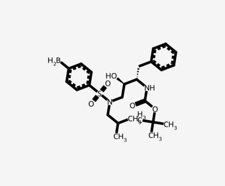 Bc1ccc(S(=O)(=O)N(CC(C)C)C[C@@H](O)[C@H](Cc2ccccc2)NC(=O)OC(C)(C)C)cc1